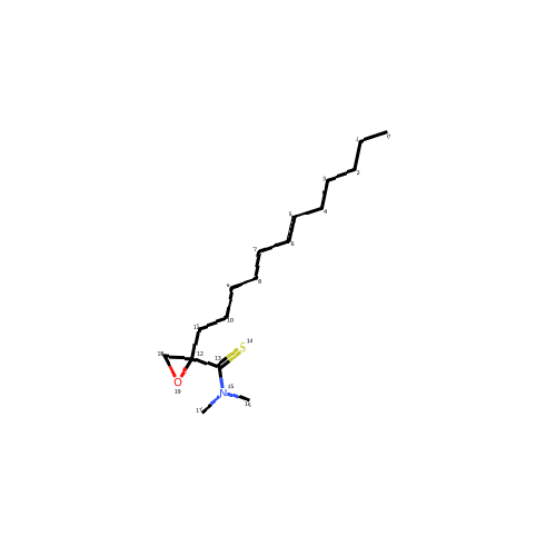 CCCCCCCCCCCCC1(C(=S)N(C)C)CO1